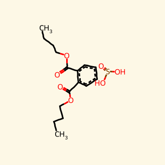 CCCCOC(=O)c1ccccc1C(=O)OCCCC.O=S(O)O